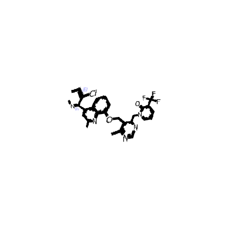 C/C=C(Cl)\C(=N/C)c1cc(C)nc2c(OCc3c(C)ncnc3Cn3cccc(C(F)(F)F)c3=O)cccc12